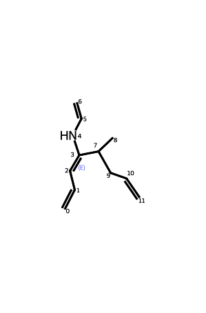 C=C/C=C(/NC=C)C(C)CC=C